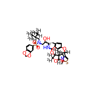 [2H]C([2H])(Oc1ccc(C[C@H](NC(=O)O[C@]2([2H])[C@@H]3CCO[C@@H]3OC2([2H])[2H])[C@H](O)CN(CC([2H])(C([2H])([2H])[2H])C([2H])([2H])[2H])S(=O)(=O)c2ccc3c(c2)OCO3)cc1)c1csc(C)n1